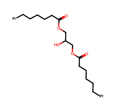 CC(C)CCCCCC(=O)OCC(O)COC(=O)CCCCCC(C)C